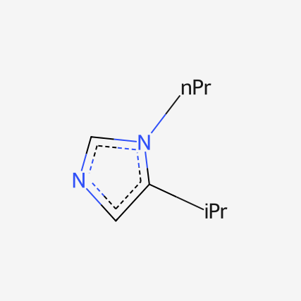 CCCn1cncc1C(C)C